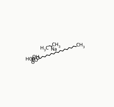 CCCCCCCCCCCCCCCCCCOOP(=O)(O)O.CC[CH](C)[Na]